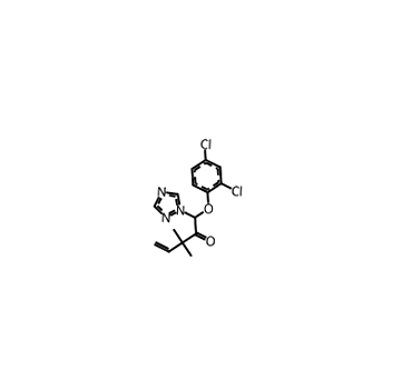 C=CC(C)(C)C(=O)C(Oc1ccc(Cl)cc1Cl)n1cncn1